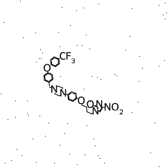 O=[N+]([O-])c1cn2c(n1)OC(COc1ccc(N3CCN(Cc4ccc(Oc5ccc(C(F)(F)F)cc5)cc4)CC3)cc1)CC2